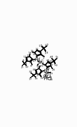 CC1=[C]([Hf]([C]2=C(C)C(C(C)(C)C)=CC2C)=[Si](C)C)C(C)C=C1C(C)(C)C.CC1=[C]([Hf]([C]2=C(C)C(C(C)(C)C)=CC2C)=[Si](C)C)C(C)C=C1C(C)(C)C.Cl.Cl